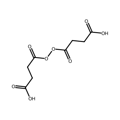 O=C(O)CCC(=O)OOC(=O)CCC(=O)O